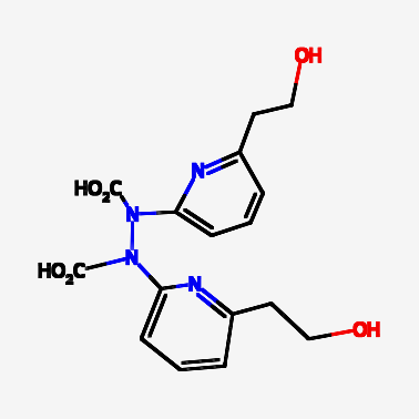 O=C(O)N(c1cccc(CCO)n1)N(C(=O)O)c1cccc(CCO)n1